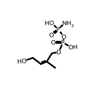 C/C(=C/CO)COP(=O)(O)OP(N)(=O)O